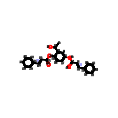 CC(=O)c1cc(OC(=O)/C=C/c2ccccc2)ccc1OC(=O)/C=C/c1ccccc1